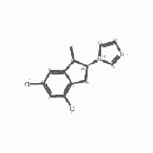 CC1c2cc(Cl)cc(Cl)c2C[C@@H]1n1ccnc1